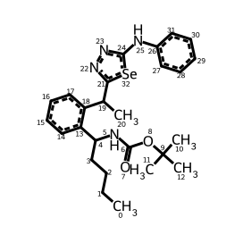 CCCCC(NC(=O)OC(C)(C)C)c1ccccc1C(C)c1nnc(Nc2ccccc2)[se]1